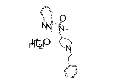 CN(CC1CCN(CCc2ccccc2)CC1)C(=O)c1c2ccccc2nn1C.Cl.O